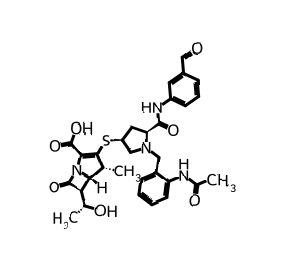 CC(=O)Nc1ccccc1CN1C[C@@H](SC2=C(C(=O)O)N3C(=O)[C@H]([C@@H](C)O)[C@H]3[C@H]2C)C[C@H]1C(=O)Nc1cccc(C=O)c1